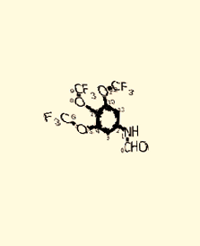 O=CNc1cc(OC(F)(F)F)c(OC(F)(F)F)c(OC(F)(F)F)c1